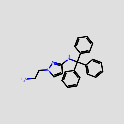 NCCn1ccc(NC(c2ccccc2)(c2ccccc2)c2ccccc2)n1